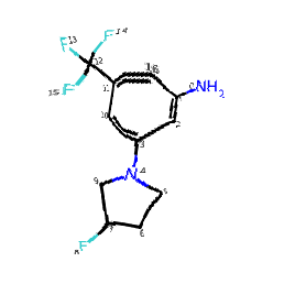 Nc1cc(N2CCC(F)C2)cc(C(F)(F)F)c1